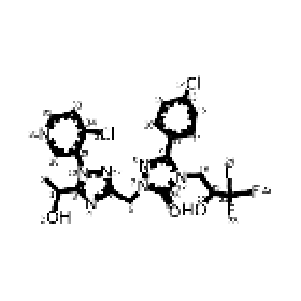 CC(O)c1nc(Cn2nc(-c3ccc(Cl)cc3)n(CC(O)C(F)(F)F)c2=O)nn1-c1cnccc1Cl